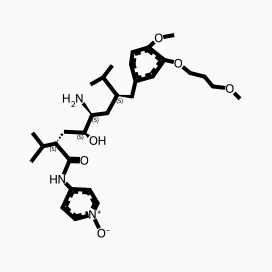 COCCCOc1cc(C[C@@H](C[C@H](N)[C@@H](O)C[C@H](C(=O)Nc2cc[n+]([O-])cc2)C(C)C)C(C)C)ccc1OC